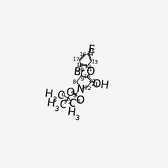 CC(C)(C)OC(=O)N1CCC(Oc2cc(F)ccc2Br)C(O)C1